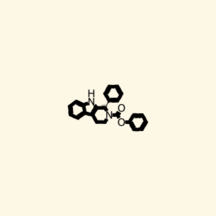 O=C(Oc1ccccc1)N1CCc2c([nH]c3ccccc23)[C@@H]1c1ccccc1